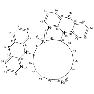 C[N+]1(C)CC(N2c3ccccc3Sc3cccnc32)CCCCCCCCCCC(N2c3ccccc3Sc3cccnc32)C1.[Br-]